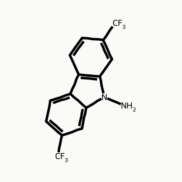 Nn1c2cc(C(F)(F)F)ccc2c2ccc(C(F)(F)F)cc21